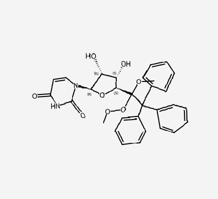 COOC(OC)([C@H]1O[C@@H](n2ccc(=O)[nH]c2=O)[C@H](O)[C@@H]1O)C(c1ccccc1)(c1ccccc1)c1ccccc1